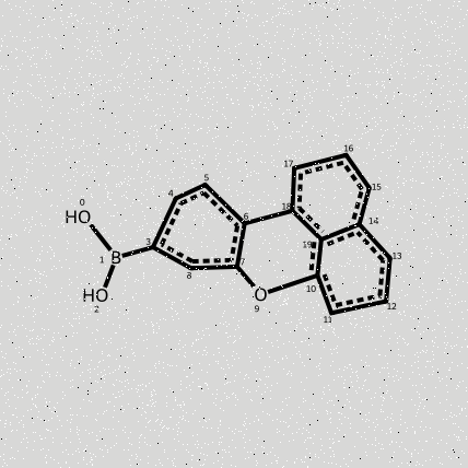 OB(O)c1ccc2c(c1)Oc1cccc3cccc-2c13